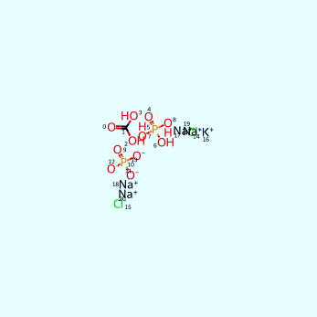 O=C(O)O.O=P(O)(O)O.O=P([O-])([O-])[O-].[Cl-].[Cl-].[K+].[Na+].[Na+].[Na+].[Na+]